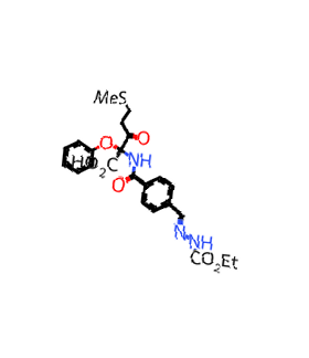 CCOC(=O)NN=Cc1ccc(C(=O)NC(Oc2ccccc2)(C(=O)O)C(=O)CCSC)cc1